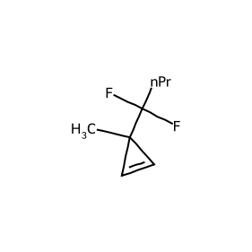 CCCC(F)(F)C1(C)C=C1